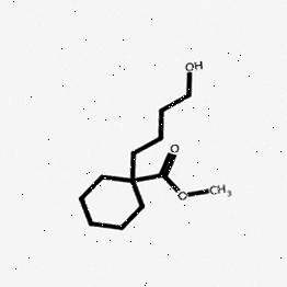 COC(=O)C1(CCCCO)CCCCC1